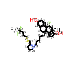 C[C@]12C[C@H](F)[C@@H]3c4ccc(O)cc4C[C@@H](CCCCCN4CCCC4CSCCCC(F)(F)C(F)(F)F)[C@H]3[C@@H]1CCC2O